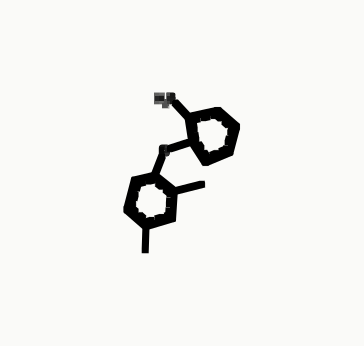 Bc1ccccc1Oc1ccc(C)cc1C